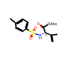 C=C(C)[C@H](NS(=O)(=O)c1ccc(C)cc1)C(=O)OC